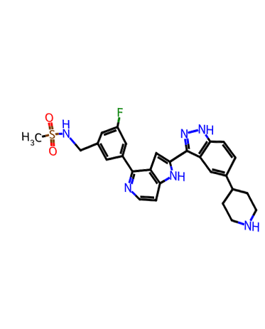 CS(=O)(=O)NCc1cc(F)cc(-c2nccc3[nH]c(-c4n[nH]c5ccc(C6CCNCC6)cc45)cc23)c1